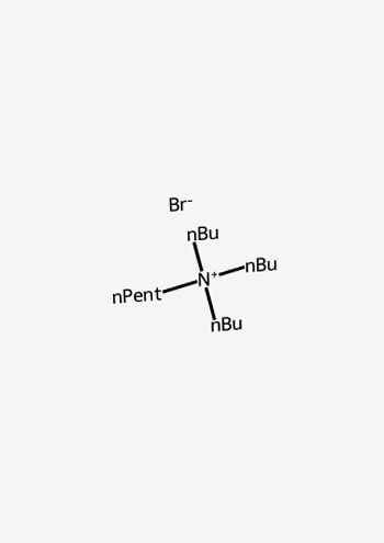 CCCCC[N+](CCCC)(CCCC)CCCC.[Br-]